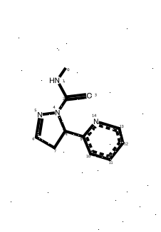 CNC(=O)N1N=CCC1c1ccccn1